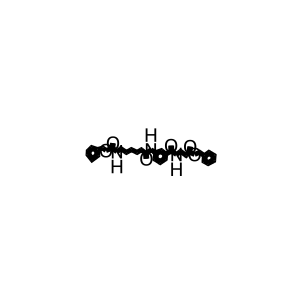 O=C(CCCCCNC(=O)OCc1ccccc1)Nc1cccc(C(=O)NCCC(=O)OCc2ccccc2)c1